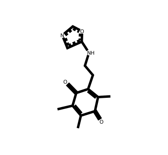 CC1=C(C)C(=O)C(CCNc2cnco2)=C(C)C1=O